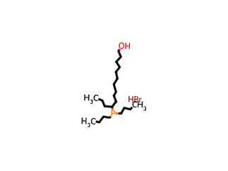 Br.CCCCP(CCCC)C(CCC)CCCCCCCCCCO